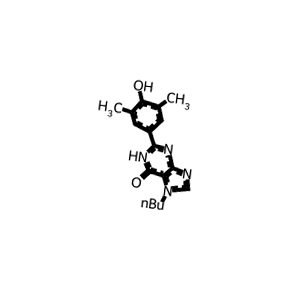 CCCCn1cnc2nc(-c3cc(C)c(O)c(C)c3)[nH]c(=O)c21